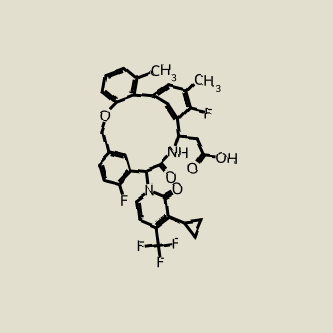 Cc1cc2cc(c1F)C(CC(=O)O)NC(=O)C(n1ccc(C(F)(F)F)c(C3CC3)c1=O)c1cc(ccc1F)COc1cccc(C)c1-2